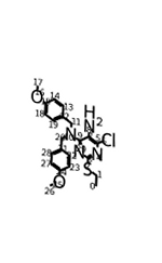 CCSc1nc(Cl)c(N)c(N(Cc2ccc(OC)cc2)Cc2ccc(OC)cc2)n1